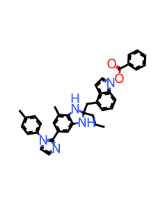 CCCC1(Cc2cccc3c2ccn3OC(=O)c2ccccc2)Nc2cc(-c3nccn3-c3ccc(C)cc3)cc(C)c2N1